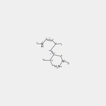 CN/C=C\C(C)/C=C(\CN(C)N)C(C)C